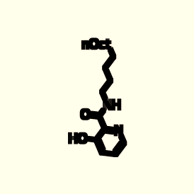 CCCCCCCCCCCCNC(=O)c1ncccc1O